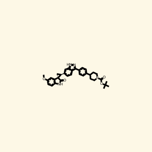 COc1ccc2c(c1)[C@]1(C[C@H]1c1ccc3c(-c4ccc(C5CCN(C(=O)OC(C)(C)C)CC5)cc4)n[nH]c3c1)C(=O)N2